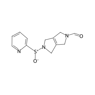 O=CN1CC2=C(C1)CN([S+]([O-])c1ccccn1)C2